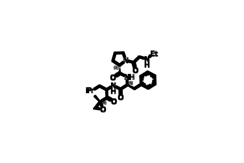 CCNCC(=O)N1CCC[C@H]1C(=O)N[C@@H](Cc1ccccc1)C(=O)NC(CC(C)C)C(=O)[C@@]1(C)CO1